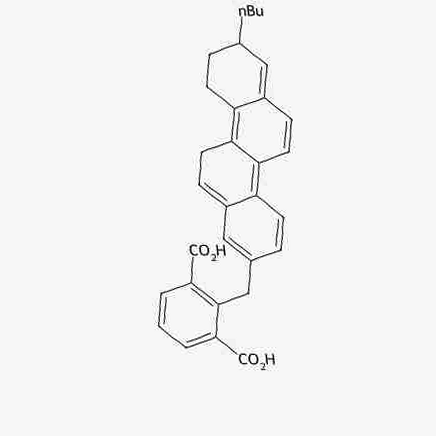 CCCCC1C=c2ccc3c(c2CC1)CC=c1cc(Cc2c(C(=O)O)cccc2C(=O)O)ccc1=3